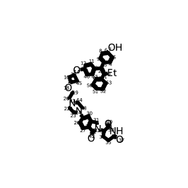 CCC(=C(c1ccc(O)cc1)c1ccc(OC2CC(OCCN3CCN(c4ccc5c(c4)CN(C4CCC(=O)NC4=O)C5=O)CC3)C2)cc1)c1ccccc1